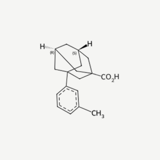 Cc1cccc(C23C[C@@H]4C[C@@H](CC(C(=O)O)(C4)C2)C3)c1